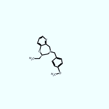 CC[C@@H]1CN(Cc2ccc(OC)cc2)Cc2n[c]ccc2O1